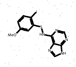 COc1ccc(I)c(SNc2ncnc3[nH]cnc23)c1